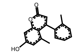 Cc1ccccc1-c1cc(=O)oc2cc(O)cc(C)c12